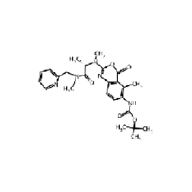 Cc1c(NC(=O)OC(C)(C)C)ccc2nc(N(C)[C@@H](C)C(=O)N(C)Cc3ccccn3)oc(=O)c12